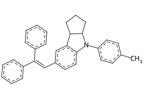 Cc1ccc(N2c3ccc(C=C(c4ccccc4)c4ccccc4)cc3C3CCCC32)cc1